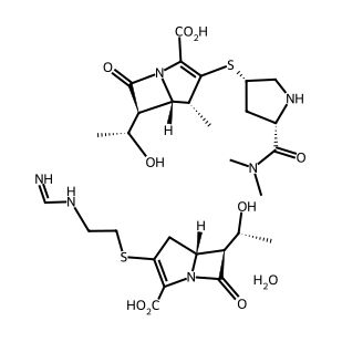 C[C@@H](O)[C@H]1C(=O)N2C(C(=O)O)=C(SCCNC=N)C[C@H]12.C[C@@H](O)[C@H]1C(=O)N2C(C(=O)O)=C(S[C@@H]3CN[C@H](C(=O)N(C)C)C3)[C@H](C)[C@H]12.O